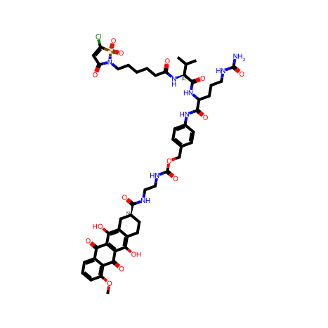 COc1cccc2c1C(=O)c1c(O)c3c(c(O)c1C2=O)C[C@@H](C(=O)NCCNC(=O)OCc1ccc(NC(=O)C(CCCNC(N)=O)NC(=O)[C@@H](NC(=O)CCCCCN2C(=O)C=C(Cl)S2(=O)=O)C(C)C)cc1)CC3